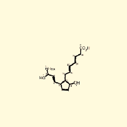 CCCCCCC(O)C=CC1CCC(O)C1CC=CCCCC(=O)O